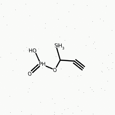 C#CC([SiH3])O[PH](=O)O